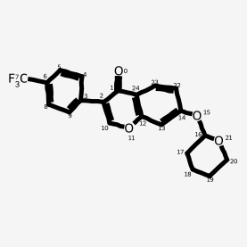 O=c1c(-c2ccc(C(F)(F)F)cc2)coc2cc(OC3CCCCO3)ccc12